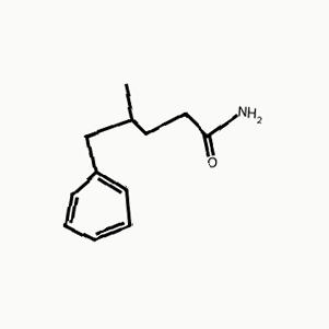 CC(CCC(N)=O)Cc1ccccc1